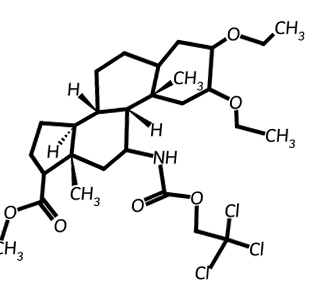 CCOC1CC2CC[C@@H]3[C@@H](C(NC(=O)OCC(Cl)(Cl)Cl)C[C@]4(C)C(C(=O)OC)CC[C@@H]34)[C@@]2(C)CC1OCC